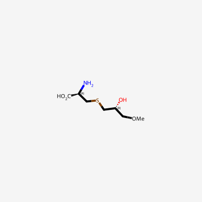 COC[C@@H](O)CSC[C@H](N)C(=O)O